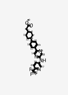 COC(=O)CC1CCC(c2ccc(-c3cnc(Nc4ccc(C(F)(F)F)nc4)cn3)cc2)CC1